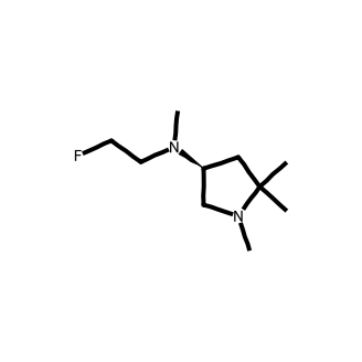 CN(CCF)[C@@H]1CN(C)C(C)(C)C1